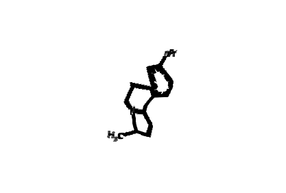 CCCc1ccc2c(c1)CCN1C(C)CCC21